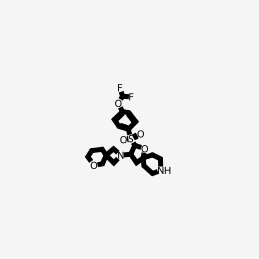 O=S(=O)(c1ccc(OC(F)F)cc1)C1OC2(CCNCC2)CC1N1CC2(CCCOC2)C1